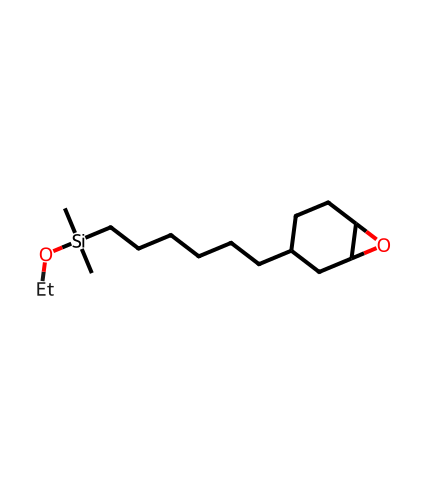 CCO[Si](C)(C)CCCCCCC1CCC2OC2C1